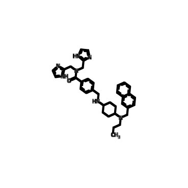 CCCN(Cc1ccc2ccccc2c1)C1CCC(NCc2ccc(C(=O)N(Cc3ncc[nH]3)Cc3ncc[nH]3)cc2)CC1